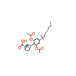 CCCCCCC(C)(C)c1cc(OC(C)=O)c(C2C=C(C(=O)O)C3CC2C3(C)C)c(OC(C)=O)c1